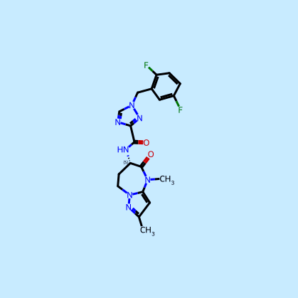 Cc1cc2n(n1)CC[C@H](NC(=O)c1ncn(Cc3cc(F)ccc3F)n1)C(=O)N2C